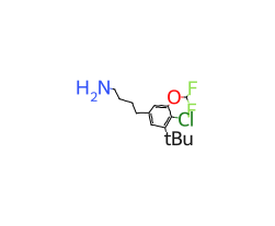 CC(C)(C)c1cc(CCCCN)cc(OC(F)F)c1Cl